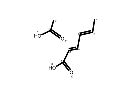 CC(=O)O.CC=CC=CC(=O)O